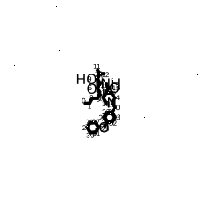 CCCCN1C(=O)[C@@H]([C@H](O)C(C)C)NC(=O)C12CCN(Cc1ccc(OC3CCCCC3)cc1)CC2